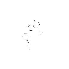 NCC=C1CCCN(c2nc3c(cc2F)c(=O)c(C(=O)O)cn3C2CC2)C1